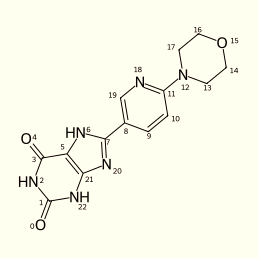 O=c1[nH]c(=O)c2[nH]c(-c3ccc(N4CCOCC4)nc3)nc2[nH]1